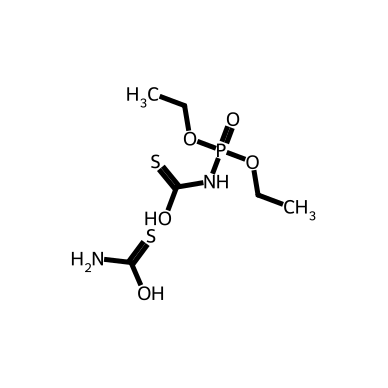 CCOP(=O)(NC(O)=S)OCC.NC(O)=S